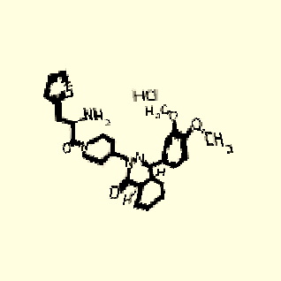 COc1ccc(C2=NN(C3CCN(C(=O)[C@@H](N)Cc4cccs4)CC3)C(=O)[C@@H]3CCCC[C@H]23)cc1OC.Cl